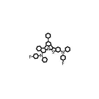 Fc1ccc(N(c2ccccc2)c2ccc3c(c2)sc2c3c3cc(-c4ccccc4)cc4c5c6ccccc6c(N(c6ccccc6)c6ccc(F)cc6)cc5n2c43)cc1